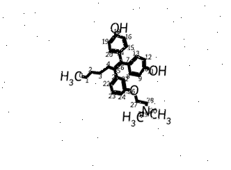 CCCCCC(=C(c1ccc(O)cc1)c1ccc(O)cc1)c1cccc(OCCN(C)C)c1